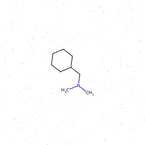 CN(C)CC1[CH]CCCC1